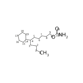 CCCCC(CCCCCOC(N)=O)C1CCCCC1